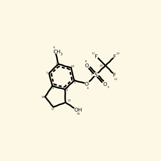 Cc1cc2c(c(OS(=O)(=O)C(F)(F)F)c1)C(O)CC2